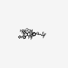 O=c1[nH]nnn1C1=C(c2ccn(C3CCC3)n2)C[C@](c2ccc(OCCCC(F)(F)F)cc2F)(C(F)(F)F)NC1O